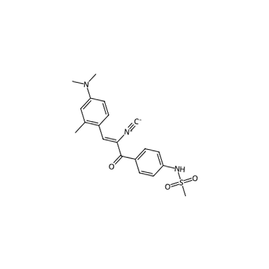 [C-]#[N+]C(=Cc1ccc(N(C)C)cc1C)C(=O)c1ccc(NS(C)(=O)=O)cc1